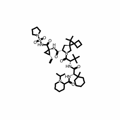 C=C[C@@H]1C[C@]1(NC(=O)[C@@H]1C[C@@]2(CN1C(=O)[C@@H](NC(=O)[C@@H](NC(=O)C1CCCCN1C(C)C)C1(C)CCCCC1)C(C)(C)C)C(C)(C)C21CCC1)C(=O)NS(=O)(=O)N1CCCC1